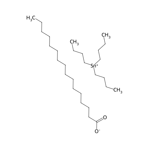 CCCCCCCCCCCCCCCC(=O)[O-].CCC[CH2][Sn+]([CH2]CCC)[CH2]CCC